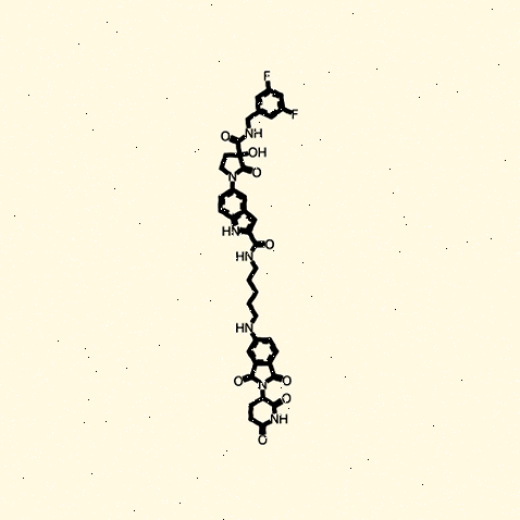 O=C1CCC(N2C(=O)c3ccc(NCCCCCNC(=O)c4cc5cc(N6CCC(O)(C(=O)NCc7cc(F)cc(F)c7)C6=O)ccc5[nH]4)cc3C2=O)C(=O)N1